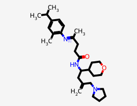 C=C(CC(NC(=O)CC/C(C)=N/c1ccc(C(C)C)cc1C)C1CCOCC1)CN1CCCC1